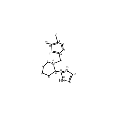 Cc1ccc(CN2CCCCC2c2ncc[nH]2)cc1C